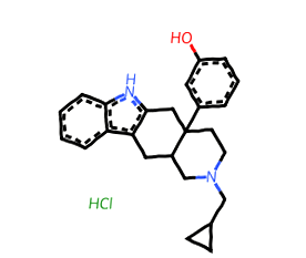 Cl.Oc1cccc(C23CCN(CC4CC4)CC2Cc2c([nH]c4ccccc24)C3)c1